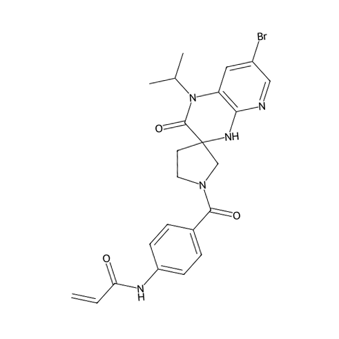 C=CC(=O)Nc1ccc(C(=O)N2CCC3(C2)Nc2ncc(Br)cc2N(C(C)C)C3=O)cc1